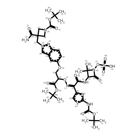 CC(C)(C)OC(=O)Nc1nc(/C(=N/OC(COc2ccc3nn(CC4(C(N)=O)CN(C(=O)OC(C)(C)C)C4)cc3c2)C(=O)OC(C)(C)C)C(=O)NC2C(=O)N(OS(=O)(=O)O)C2(C)C)cs1